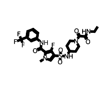 CCNC(=O)C(=O)N1CCC(NS(=O)(=O)c2cn(C)c(C(=O)Nc3cccc(C(F)(F)F)c3)c2F)CC1